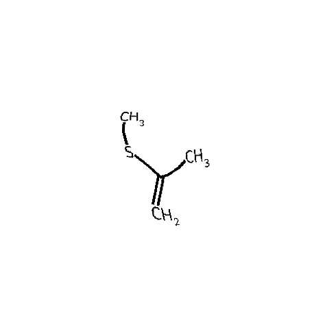 C=C(C)SC